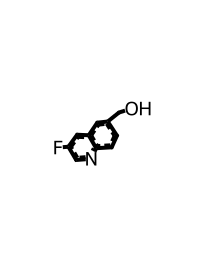 OCc1ccc2ncc(F)cc2c1